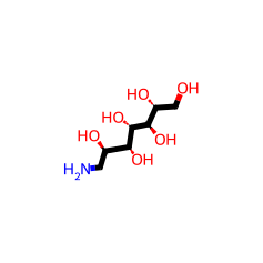 NC[C@@H](O)[C@@H](O)[C@H](O)[C@H](O)[C@H](O)CO